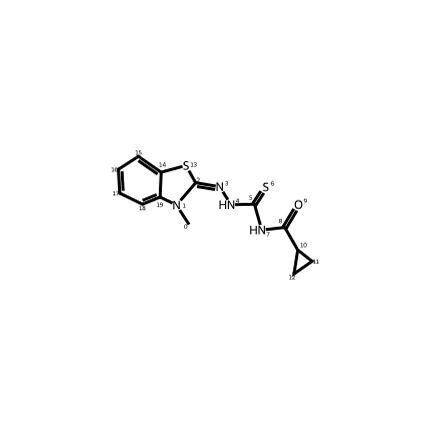 Cn1/c(=N\NC(=S)NC(=O)C2CC2)sc2ccccc21